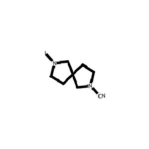 N#CN1CCC2(CCN(I)C2)C1